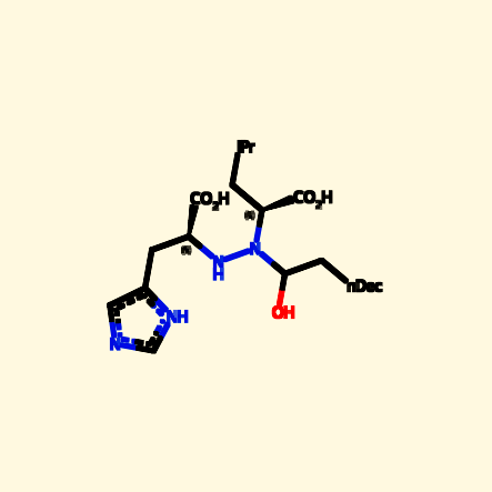 CCCCCCCCCCCC(O)N(N[C@@H](Cc1cnc[nH]1)C(=O)O)[C@@H](CC(C)C)C(=O)O